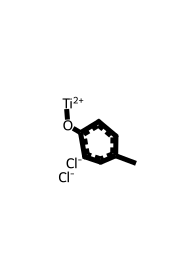 Cc1ccc([O][Ti+2])cc1.[Cl-].[Cl-]